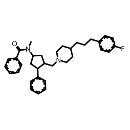 CN(C(=O)c1ccccc1)C1CC(CN2CCC(CCCc3ccc(F)cc3)CC2)C(c2ccccc2)C1